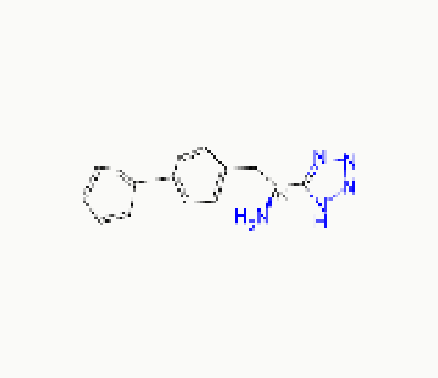 N[C@@H](Cc1ccc(-c2ccccc2)cc1)c1nnn[nH]1